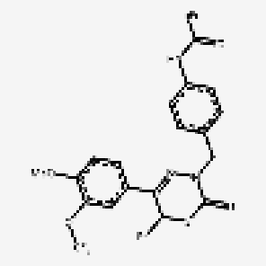 CCCC(=O)Nc1ccc(CN2N=C(c3ccc(OC)c(OC(F)(F)F)c3)C(CC)SC2=O)cc1